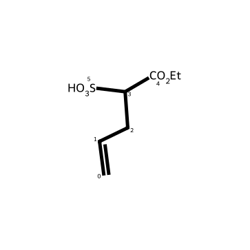 C=CCC(C(=O)OCC)S(=O)(=O)O